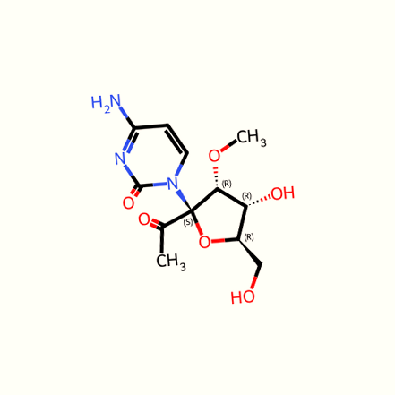 CO[C@@H]1[C@H](O)[C@@H](CO)O[C@@]1(C(C)=O)n1ccc(N)nc1=O